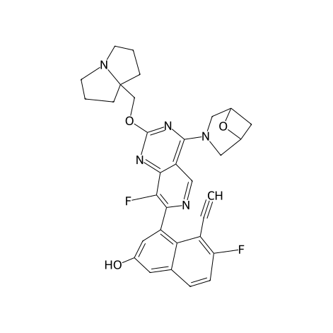 C#Cc1c(F)ccc2cc(O)cc(-c3ncc4c(N5CC6CC(C5)O6)nc(OCC56CCCN5CCC6)nc4c3F)c12